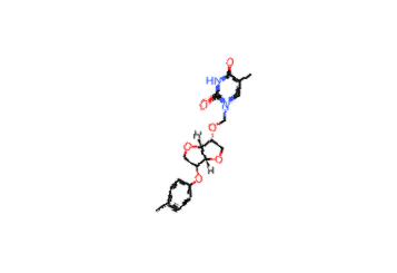 Cc1ccc(O[C@H]2CO[C@H]3[C@@H]2OC[C@H]3OCn2cc(C)c(=O)[nH]c2=O)cc1